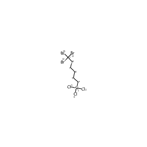 Cl[Si](Cl)(Cl)CCCCCC(Br)(Br)Br